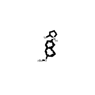 [2H]C1CCCS1([2H])c1ccc2cc(OCCCC)ccc2c1